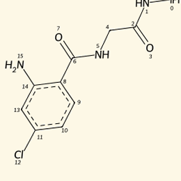 CC(C)NC(=O)CNC(=O)c1ccc(Cl)cc1N